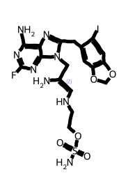 N/C(=C\NCCOS(N)(=O)=O)Cn1c(Cc2cc3c(cc2I)OCO3)nc2c(N)nc(F)nc21